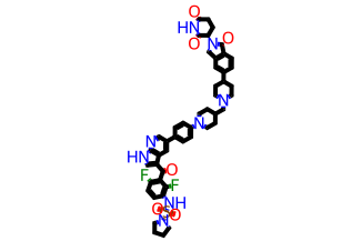 O=C1CC[C@H](N2Cc3cc(C4CCN(CC5CCN(c6ccc(-c7cnc8[nH]cc(C(=O)c9c(F)ccc(NS(=O)(=O)N%10CCCC%10)c9F)c8c7)cc6)CC5)CC4)ccc3C2=O)C(=O)N1